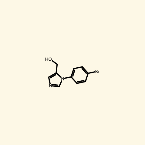 OCc1cncn1-c1ccc(Br)cc1